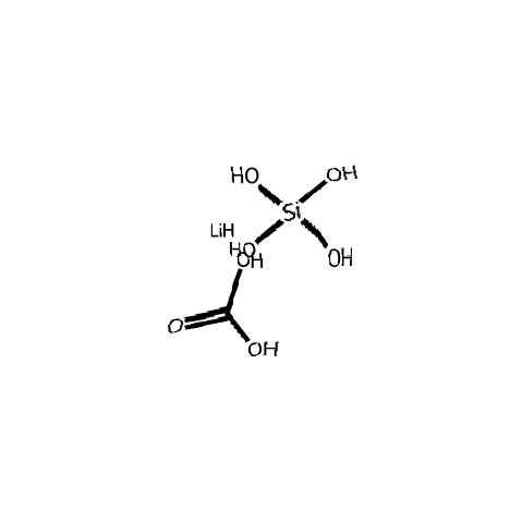 O=C(O)O.O[Si](O)(O)O.[LiH]